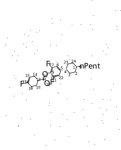 CCCCC[C@H]1CC[C@H](c2cc(F)c(OC(=O)C3CC=C(F)CC3)c(F)c2)CC1